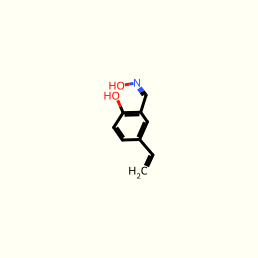 C=Cc1ccc(O)c(/C=N\O)c1